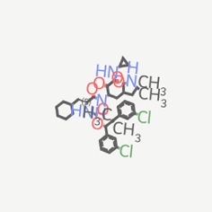 CC1(C)CC(CC(NC(=O)[C@H](CC2CCCCC2)NC(=O)OC(c2cccc(Cl)c2)C(C)(C)c2cccc(Cl)c2)C(=O)C(=O)NC2CC2)C(=O)N1